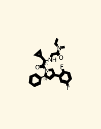 CCN(C)C(=O)CN[C@H](C(=O)N1CC(c2cc(F)ccc2F)=C[C@H]1c1ccccc1)C1CC1